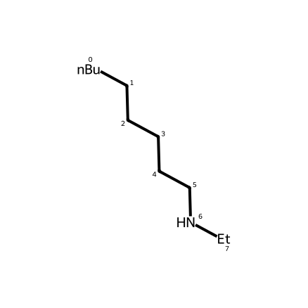 CCCCCCCCCNCC